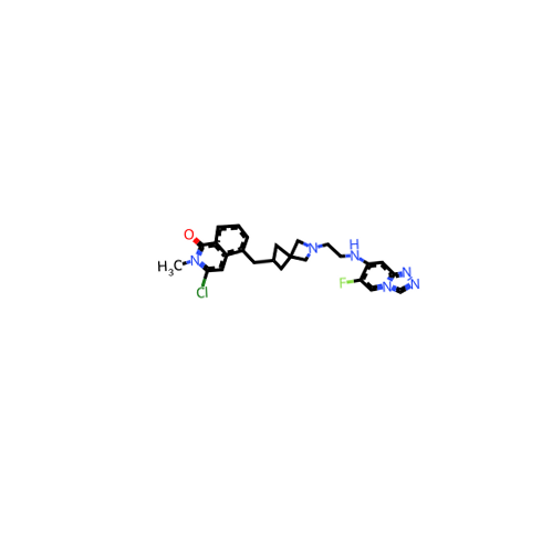 Cn1c(Cl)cc2c(CC3CC4(C3)CN(CCNc3cc5nncn5cc3F)C4)cccc2c1=O